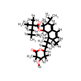 [2H]O[C@@]1([2H])C([2H])(C)C(=O)O[C@]([2H])(C([2H])([2H])C(C)(C)[C@]2([2H])[C@]3([2H])C(=C([2H])[C@]([2H])(C([2H])(C)C)C(C)(C)[C@]3(C)OC(=O)C(C([2H])([2H])[2H])(C([2H])(C)C)C([2H])([2H])C([2H])(C)C)C([2H])=C([2H])[C@]2([2H])C([2H])([2H])[2H])C1([2H])[2H]